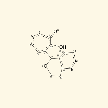 O=c1ccccc(C2OCCc3ccccc32)c1O